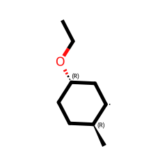 CCO[C@@H]1C[CH][C@@H](C)CC1